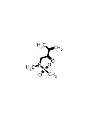 C=C(C)C(=O)CN(C)S(C)(=O)=O